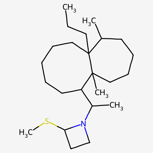 CCCC12CCCCCC(C(C)N3CCC3SC)C1(C)CCCCC2C